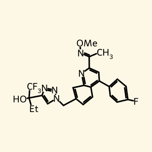 CCC(O)(c1cn(Cc2ccc3c(-c4ccc(F)cc4)cc(/C(C)=N/OC)nc3c2)nn1)C(F)(F)F